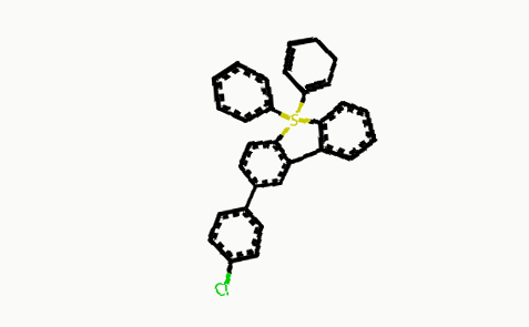 Clc1ccc(-c2ccc3c(c2)-c2ccccc2S3(C2=CCCC=C2)c2ccccc2)cc1